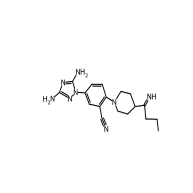 CCCC(=N)C1CCN(c2ccc(-n3nc(N)nc3N)cc2C#N)CC1